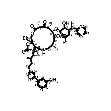 CC[C@H]1OC(=O)[C@H](C)C(=O)[C@H](C)[C@@H](O[C@@H]2OC(C)CC(Nc3cnccn3)C2O)[C@H](OC)C[C@@H](C)CN[C@H](C)[C@H]2N(CCCCn3cc(-c4cccc(N)c4)nn3)C(=O)O[C@]12C